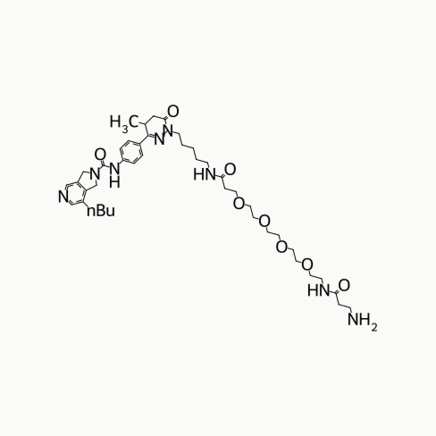 CCCCc1cncc2c1CN(C(=O)Nc1ccc(C3=NN(CCCCCNC(=O)CCOCCOCCOCCOCCNC(=O)CCN)C(=O)CC3C)cc1)C2